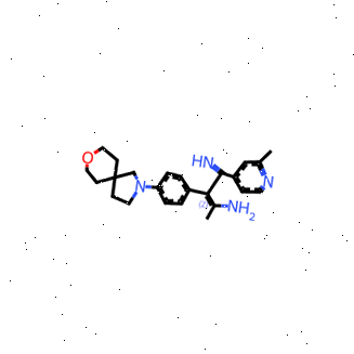 C/C(N)=C(/C(=N)c1ccnc(C)c1)c1ccc(N2CCC3(CCOCC3)C2)cc1